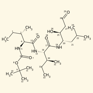 CC[C@H](C)[C@H](NC(=O)OC(C)(C)C)C(=O)N[C@H](C(=O)N[C@@H](CC(C)C)[C@@H](O)C[C]=O)[C@@H](C)CC